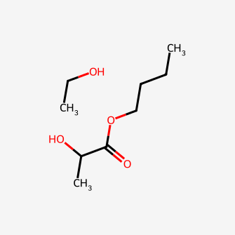 CCCCOC(=O)C(C)O.CCO